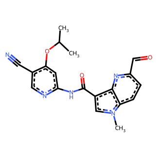 CC(C)Oc1cc(NC(=O)c2cn(C)c3ccc(C=O)nc23)ncc1C#N